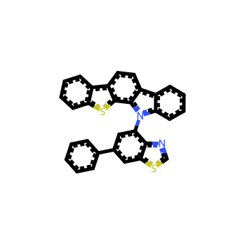 c1ccc(-c2cc(-n3c4ccccc4c4ccc5c6ccccc6sc5c43)c3ncsc3c2)cc1